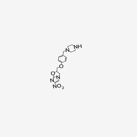 O=[N+]([O-])c1cn2c(n1)OC(COc1ccc(CN3CCNCC3)cc1)C2